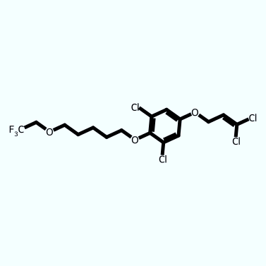 FC(F)(F)COCCCCCOc1c(Cl)cc(OCC=C(Cl)Cl)cc1Cl